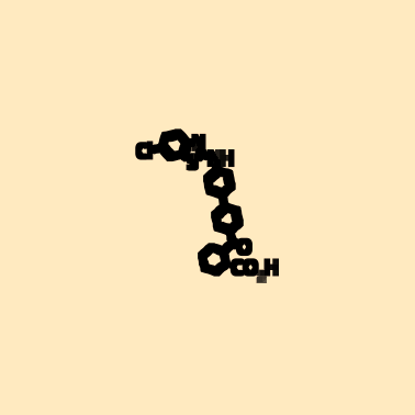 O=C(c1ccc(-c2ccc(Nc3nc4ccc(Cl)cc4s3)cc2)cc1)C1CCCC[C@H]1C(=O)O